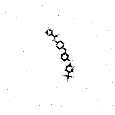 O=C(NC1CCC(=Cc2cccc(Oc3ccc(C(F)(F)F)cn3)c2)CC1)c1nc[nH]n1